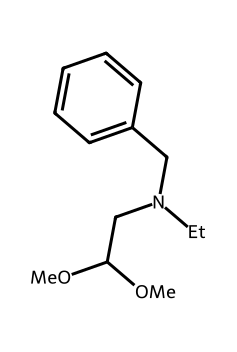 CCN(Cc1ccccc1)CC(OC)OC